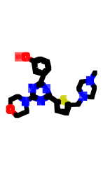 CN1CCN(Cc2ccc(-c3nc(-c4cccc(O)c4)nc(N4CCOCC4)n3)s2)CC1